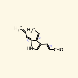 C=C/C=c1/[nH]cc(/C=C/C=O)/c1=C/C